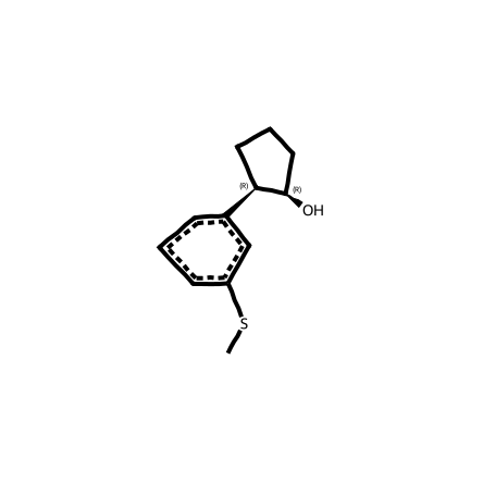 CSc1cccc([C@H]2CCC[C@H]2O)c1